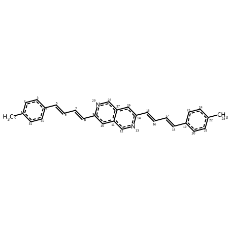 Cc1ccc(/C=C/C=C/c2cc3cnc(/C=C/C=C/c4ccc(C)cc4)cc3cn2)cc1